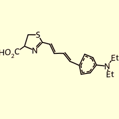 CCN(CC)c1ccc(/C=C/C=C/C2=NC(C(=O)O)CS2)cc1